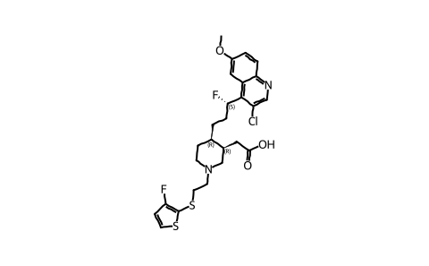 COc1ccc2ncc(Cl)c([C@@H](F)CC[C@@H]3CCN(CCSc4sccc4F)C[C@@H]3CC(=O)O)c2c1